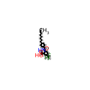 CCCCCCCCc1ccc(C(=O)Nc2ccc(C(F)(F)F)cc2C(=O)O)cc1